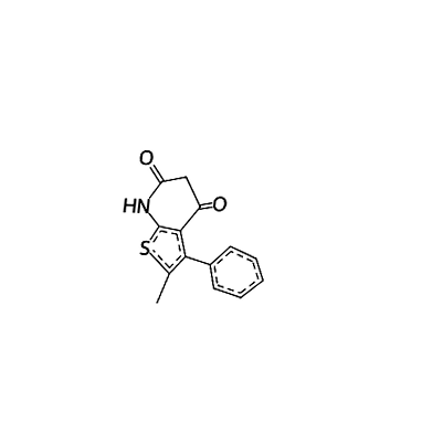 Cc1sc2c(c1-c1ccccc1)C(=O)CC(=O)N2